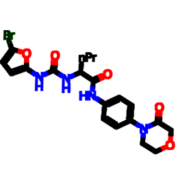 CCCC(NC(=O)Nc1ccc(Br)o1)C(=O)Nc1ccc(N2CCOCC2=O)cc1